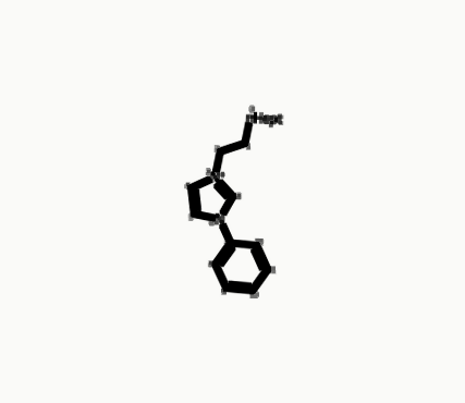 CCCCCCCCC[n+]1ccn(-c2ccccc2)c1